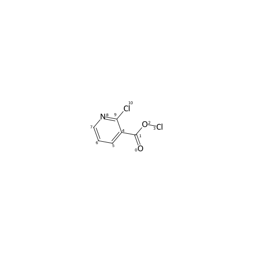 O=C(OCl)c1cccnc1Cl